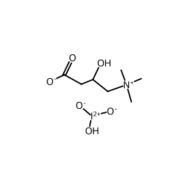 C[N+](C)(C)CC(O)CC(=O)[O-].[O-][I+2]([O-])O